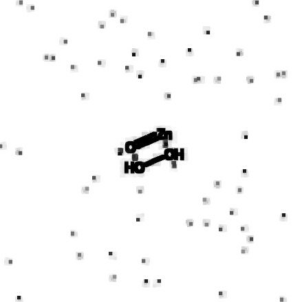 OO.[O]=[Zn]